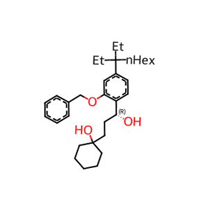 CCCCCCC(CC)(CC)c1ccc([C@H](O)CCC2(O)CCCCC2)c(OCc2ccccc2)c1